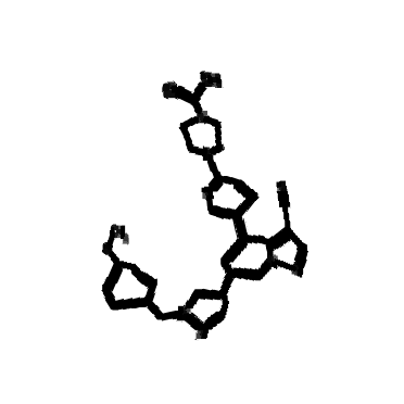 COc1ccc(Cn2cc(-c3cc(-c4ccc(N5CCN(C(=O)O)CC5)nc4)c4c(C#N)cnn4c3)cn2)cc1